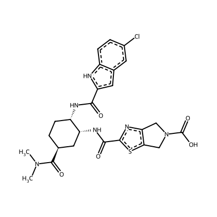 CN(C)C(=O)[C@H]1CC[C@H](NC(=O)c2cc3cc(Cl)ccc3[nH]2)[C@H](NC(=O)c2nc3c(s2)CN(C(=O)O)C3)C1